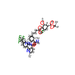 COc1cc(C(=O)OC(C)C)cc(F)c1OC(=O)CCCc1ccc(NC(=O)c2ccc(C)nc2-c2ccc(C(F)(F)F)cc2)c(C(=O)N(C)C)c1